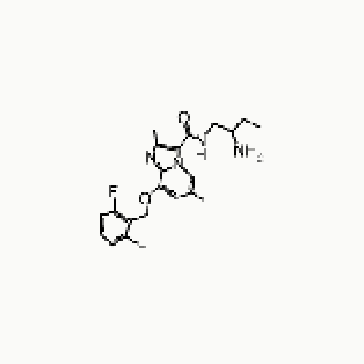 CCC(N)CNC(=O)c1c(C)nc2c(OCc3c(F)cccc3F)cc(C)cn12